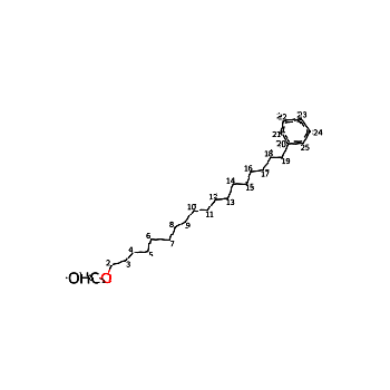 O=[C]OCCCCCCCCCCCCCCCCCCc1ccccc1